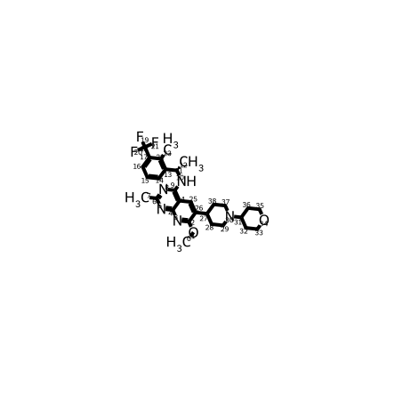 COc1nc2nc(C)nc(N[C@H](C)c3cccc(C(F)(F)F)c3C)c2cc1C1CCN(C2CCOCC2)CC1